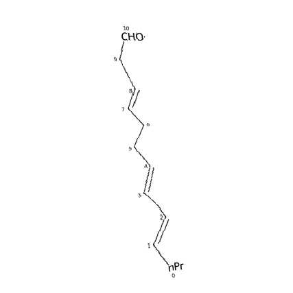 CCCC=CC=CCCC=CC[C]=O